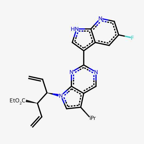 C=C[C@H]([C@@H](C=C)C(=O)OCC)n1cc(C(C)C)c2cnc(-c3c[nH]c4ncc(F)cc34)nc21